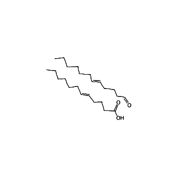 CCCCCCC=CCCCC(=O)O.CCCCCCC=CCCCC=O